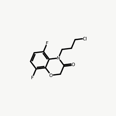 O=C1COc2c(F)ccc(F)c2N1CCCCl